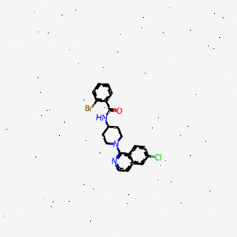 O=C(NC1CCN(c2nccc3cc(Cl)ccc23)CC1)c1ccccc1Br